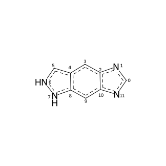 c1nc2cc3c[nH][nH]c3cc2n1